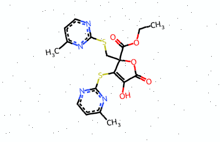 CCOC(=O)C1(CSc2nccc(C)n2)OC(=O)C(O)=C1Sc1nccc(C)n1